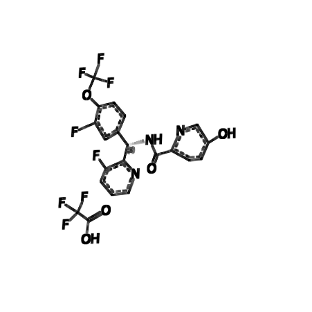 O=C(N[C@@H](c1ccc(OC(F)(F)F)c(F)c1)c1ncccc1F)c1ccc(O)cn1.O=C(O)C(F)(F)F